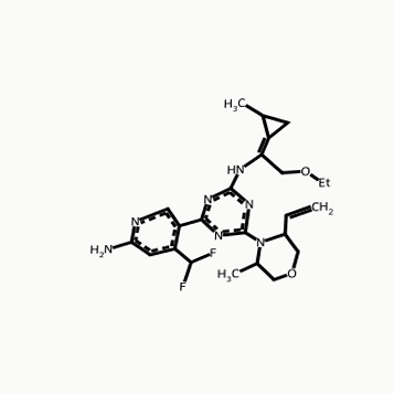 C=CC1COCC(C)N1c1nc(N/C(COCC)=C2/CC2C)nc(-c2cnc(N)cc2C(F)F)n1